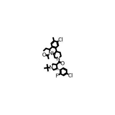 CCC(NC(C)=O)c1cc(C)c(Cl)cc1C1CCN(C(=O)C2CN(C(C)(C)C)C[C@H]2c2ccc(Cl)cc2F)CC1